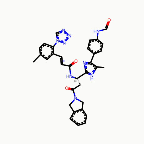 Cc1ccc(-n2cnnn2)c(/C=C/C(=O)N[C@@H](CC(=O)N2Cc3ccccc3C2)c2nc(-c3ccc(NC=O)cc3)c(C)[nH]2)c1